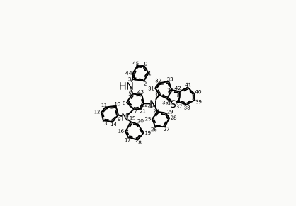 c1ccc(Nc2cc(N(c3ccccc3)c3ccccc3)cc(N(c3ccccc3)c3cccc4c3sc3ccccc34)c2)cc1